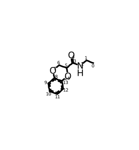 CCNC(=O)C1COc2ccccc2O1